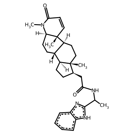 CC(NC(=O)C[C@H]1CC[C@H]2[C@@H]3CC[C@H]4N(C)C(=O)C=C[C@]4(C)[C@H]3CC[C@]12C)c1nc2ccccc2[nH]1